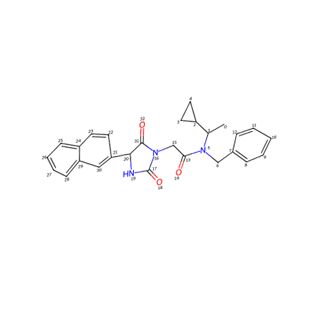 CC(C1CC1)N(Cc1ccccc1)C(=O)CN1C(=O)NC(c2ccc3ccccc3c2)C1=O